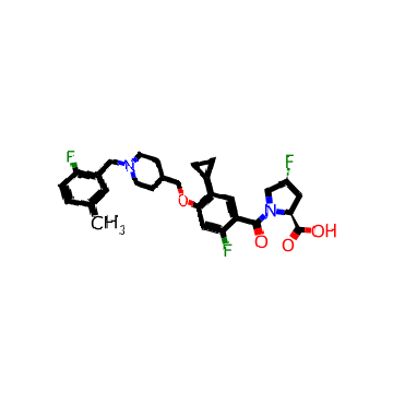 Cc1ccc(F)c(CN2CCC(COc3cc(F)c(C(=O)N4C[C@H](F)C[C@H]4C(=O)O)cc3C3CC3)CC2)c1